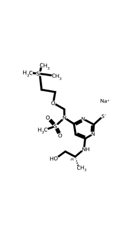 C[C@H](CO)Nc1cc(N(COCC[Si](C)(C)C)S(C)(=O)=O)nc([S-])n1.[Na+]